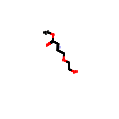 COC(=O)/C=C/COCCO